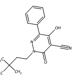 CC(C)(C)CCn1nc(-c2ccccc2)c(O)c(C#N)c1=O